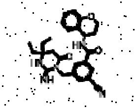 CCC1(CC)CC(=O)N(Cc2cc(C#N)cc(C(=O)N[C@H]3CCOc4ccccc43)c2)C(=N)N1